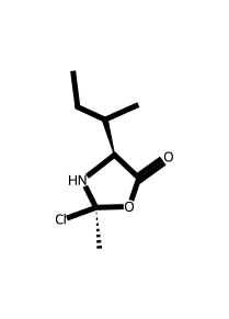 CCC(C)[C@@H]1N[C@](C)(Cl)OC1=O